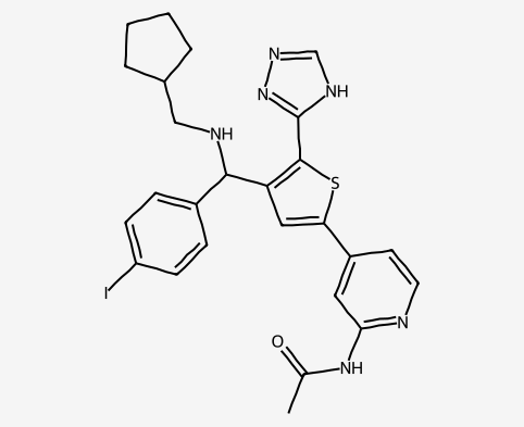 CC(=O)Nc1cc(-c2cc(C(NCC3CCCC3)c3ccc(I)cc3)c(-c3nnc[nH]3)s2)ccn1